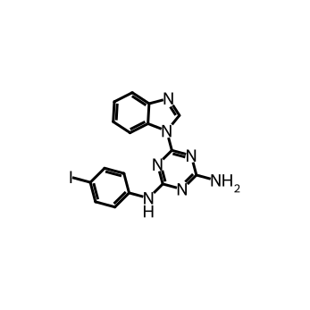 Nc1nc(Nc2ccc(I)cc2)nc(-n2cnc3ccccc32)n1